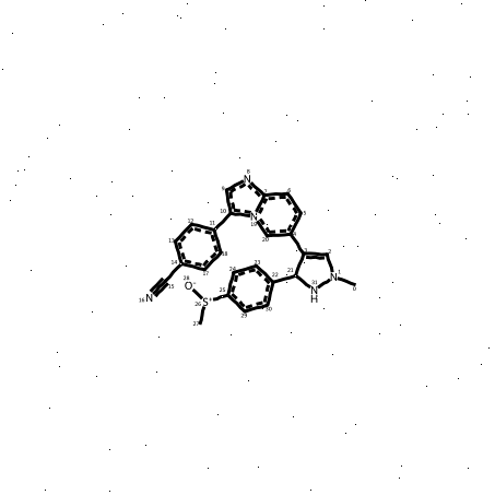 CN1C=C(c2ccc3ncc(-c4ccc(C#N)cc4)n3c2)C(c2ccc([S+](C)[O-])cc2)N1